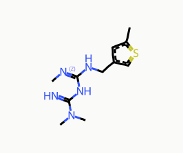 C/N=C(/NCc1csc(C)c1)NC(=N)N(C)C